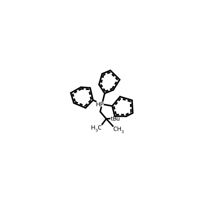 CC(C)(C)C(C)(C)C[PH](c1ccccc1)(c1ccccc1)c1ccccc1